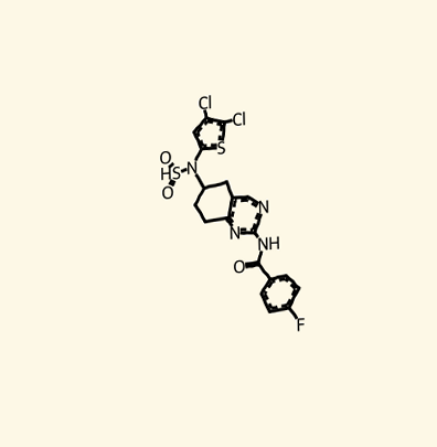 O=C(Nc1ncc2c(n1)CCC(N(c1cc(Cl)c(Cl)s1)[SH](=O)=O)C2)c1ccc(F)cc1